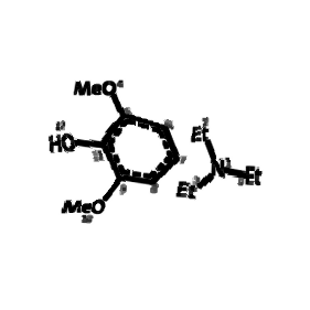 CCN(CC)CC.COc1cccc(OC)c1O